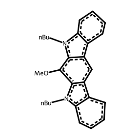 CCCCn1c2ccccc2c2cc3c4ccccc4n(CCCC)c3c(OC)c21